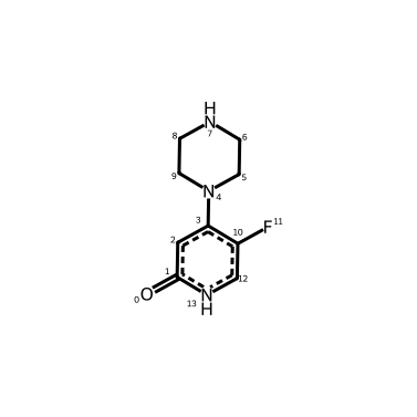 O=c1cc(N2CCNCC2)c(F)c[nH]1